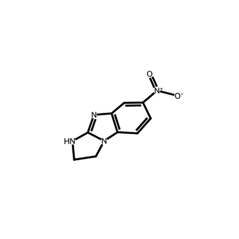 O=[N+]([O-])c1ccc2c(c1)nc1n2CCN1